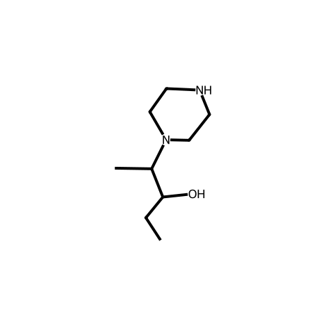 CCC(O)C(C)N1CCNCC1